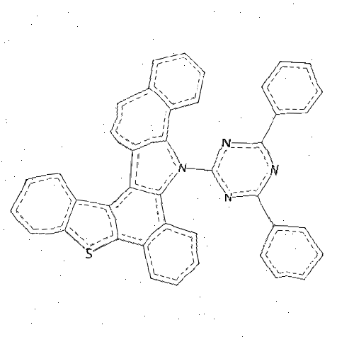 c1ccc(-c2nc(-c3ccccc3)nc(-n3c4c5ccccc5ccc4c4c5c6ccccc6sc5c5ccccc5c43)n2)cc1